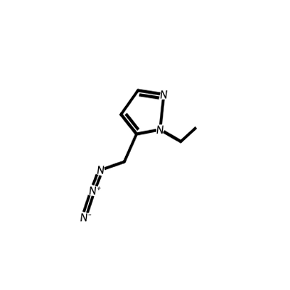 CCn1nccc1CN=[N+]=[N-]